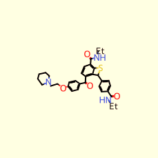 CCNC(=O)c1ccc(C2Sc3c(C(=O)NCC)ccc(C(=O)c4ccc(OCCN5CCCCC5)cc4)c32)cc1